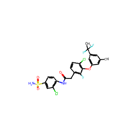 CC(F)(F)c1cc(C#N)cc(Oc2c(Cl)ccc(CC(=O)Nc3ccc(S(N)(=O)=O)cc3Cl)c2F)c1